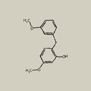 COc1cccc(Cc2ccc(OC)cc2O)c1